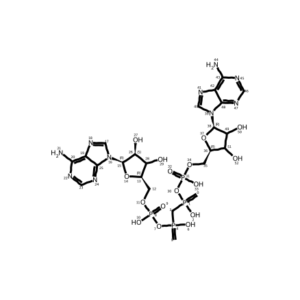 C=P(O)(CP(=C)(O)OP(=O)(O)OC[C@H]1O[C@@H](n2cnc3c(N)ncnc32)[C@@H](O)C1O)OP(=O)(O)OC[C@H]1O[C@@H](n2cnc3c(N)ncnc32)C(O)C1O